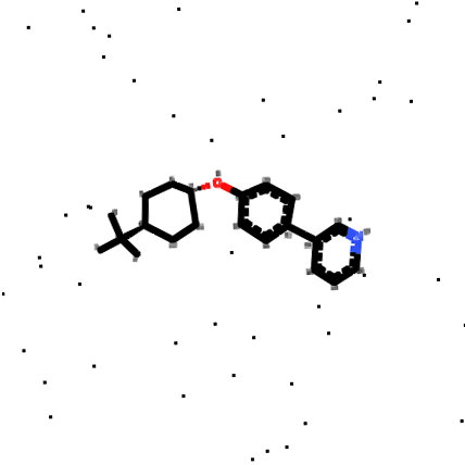 CC(C)(C)[C@H]1CC[C@H](Oc2ccc(-c3cccnc3)cc2)CC1